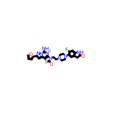 Nc1nc2c(sc(=O)n2CCN2CCN(c3cc4c(cc3F)NC(=O)C4)CC2)c2cc(-c3ccco3)nn12